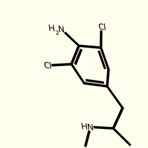 CNC(C)Cc1cc(Cl)c(N)c(Cl)c1